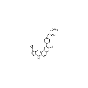 COC[C@@H](O)CN1CCC(c2cc3nc(Nc4cnn(C5CC5)c4C)ncc3cc2Cl)CC1